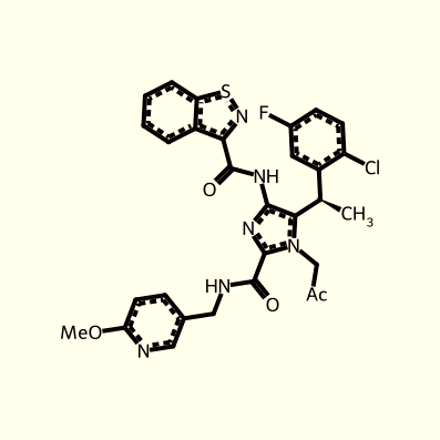 COc1ccc(CNC(=O)c2nc(NC(=O)c3nsc4ccccc34)c([C@H](C)c3cc(F)ccc3Cl)n2CC(C)=O)cn1